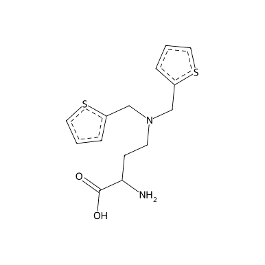 NC(CCN(Cc1cccs1)Cc1cccs1)C(=O)O